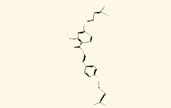 CC(C)=CCOc1ccc(C=CC(=O)c2ccc(OCC=C(C)C)cc2O)cc1